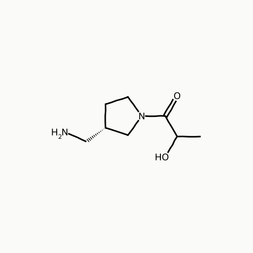 CC(O)C(=O)N1CC[C@@H](CN)C1